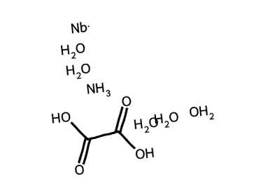 N.O.O.O.O.O.O=C(O)C(=O)O.[Nb]